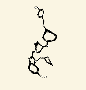 O=C(O)c1ccc2nc(CN3CCC(Nc4cccc(OCc5ccc(Cl)cn5)c4)C3)n(CC3CCO3)c2c1